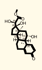 COC(=O)[C@H](O)[C@@]1(O)CC[C@H]2[C@@H]3CCC4=CC(=O)C=C[C@]4(C)[C@H]3[C@@H](O)C[C@@]21C